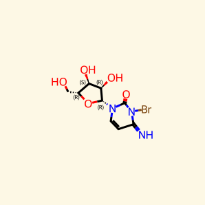 N=c1ccn([C@@H]2O[C@H](CO)[C@@H](O)[C@H]2O)c(=O)n1Br